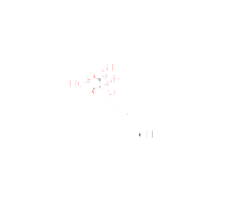 CCCCCCCCCCC(C(=O)O)(C(=O)CO)C(=O)CO